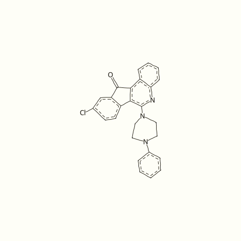 O=C1c2cc(Cl)ccc2-c2c(N3CCN(c4ccccc4)CC3)nc3ccccc3c21